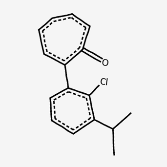 CC(C)c1cccc(-c2cccccc2=O)c1Cl